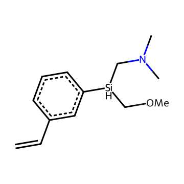 C=Cc1cccc([SiH](COC)CN(C)C)c1